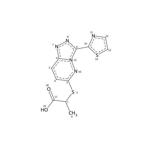 CC(Sc1ccc2nnc(-c3nccs3)n2n1)C(=O)O